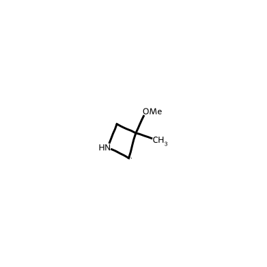 COC1(C)[CH]NC1